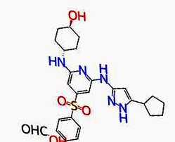 O=CO.O=S(=O)(c1ccccc1)c1cc(Nc2cc(C3CCCC3)[nH]n2)nc(N[C@H]2CC[C@H](O)CC2)c1